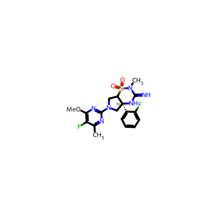 COc1nc(N2CC3[C@](c4ccccc4F)(C2)NC(=N)N(C)S3(=O)=O)nc(C)c1F